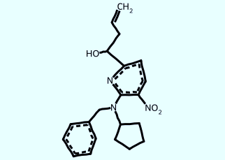 C=CCC(O)c1ccc([N+](=O)[O-])c(N(Cc2ccccc2)C2CCCC2)n1